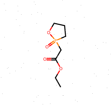 CCOC(=O)CP1(=O)CCCO1